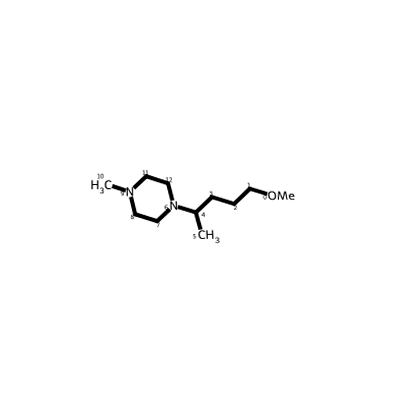 COCCCC(C)N1CCN(C)CC1